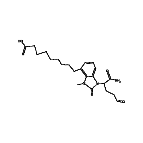 Cn1c(=O)n(C(CCC=O)C(N)=O)c2cccc(CCCCCCCCC(=O)O)c21